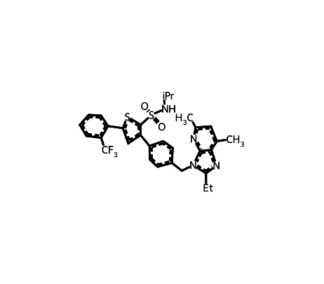 CCc1nc2c(C)cc(C)nc2n1Cc1ccc(-c2cc(-c3ccccc3C(F)(F)F)sc2S(=O)(=O)NC(C)C)cc1